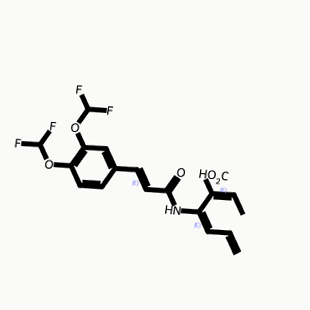 C=C/C=C(NC(=O)/C=C/c1ccc(OC(F)F)c(OC(F)F)c1)\C(=C/C)C(=O)O